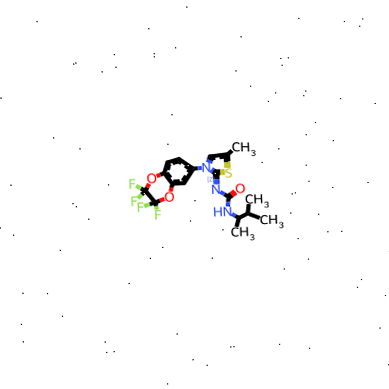 Cc1cn(-c2ccc3c(c2)OC(F)(F)C(F)(F)O3)/c(=N/C(=O)NC(C)C(C)C)s1